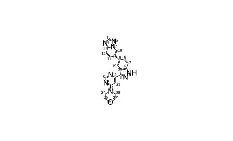 c1nc(-c2n[nH]c3ccc(-c4ccc5ncnn5c4)cc23)cc(N2CCOCC2)n1